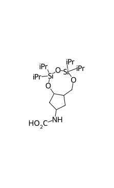 CC(C)[Si]1(C(C)C)OCC2CC(NC(=O)O)CC2O[Si](C(C)C)(C(C)C)O1